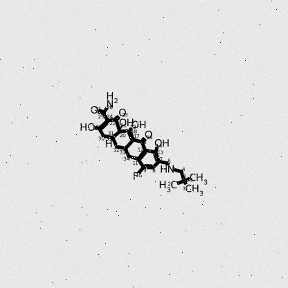 CC(C)(C)CNCc1cc(F)c2c(c1O)C(=O)C1=C(O)[C@]3(O)C(=O)C(C(N)=O)=C(O)C[C@@H]3CC1C2